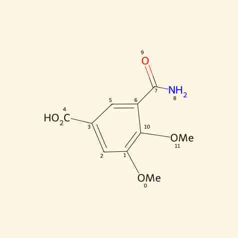 COc1cc(C(=O)O)cc(C(N)=O)c1OC